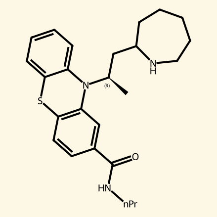 CCCNC(=O)c1ccc2c(c1)N([C@H](C)CC1CCCCCN1)c1ccccc1S2